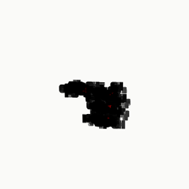 CC(=O)OCC(=O)[C@@]12OC(C)(C)O[C@@H]1C[C@H]1[C@@H]3C[C@H](F)C4=CC(=O)C=C[C@]4(C)[C@@]3(F)[C@@H](O)C[C@@]12C.CC1(C)O[C@@H]2C[C@H]3[C@@H]4C[C@H](F)C5=CC(=O)C=C[C@]5(C)[C@@]4(F)[C@@H](O)C[C@]3(C)[C@]2(C(=O)CO)O1.CCCC(=O)O[C@]1(C(=O)CO)CC[C@H]2[C@@H]3CCC4=CC(=O)CC[C@]4(C)[C@H]3[C@@H](O)C[C@@]21C.C[C@]12CCC(=O)C=C1CC[C@@H]1[C@@H]2[C@@H](O)C[C@@]2(C)[C@H]1CC[C@]2(O)C(=O)CO